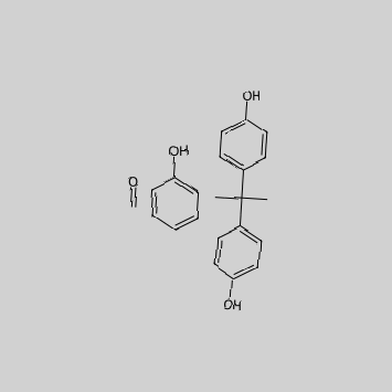 C=O.CC(C)(c1ccc(O)cc1)c1ccc(O)cc1.Oc1ccccc1